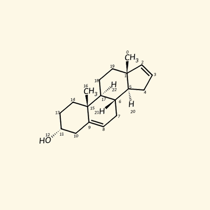 C[C@@]12C=CC[C@H]1[C@@H]1CC=C3C[C@H](O)CC[C@]3(C)[C@H]1CC2